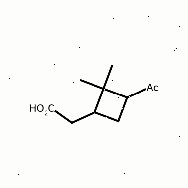 CC(=O)C1CC(CC(=O)O)C1(C)C